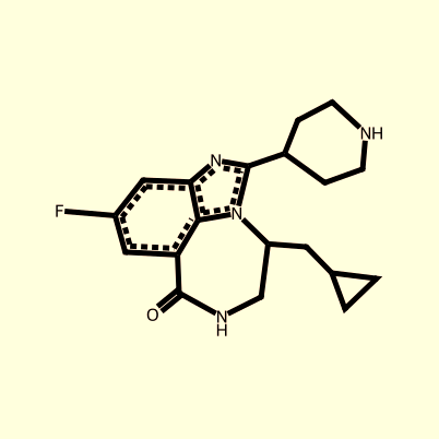 O=C1NCC(CC2CC2)n2c(C3CCNCC3)nc3cc(F)cc1c32